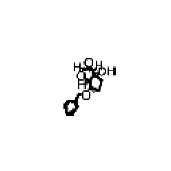 O[C@]12CC[C@@H](OCc3ccccc3)[C@H]1O[C@@H]1O[C@@H]12